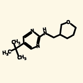 CC(C)(C)c1cnc(NCC2CCCOC2)nc1